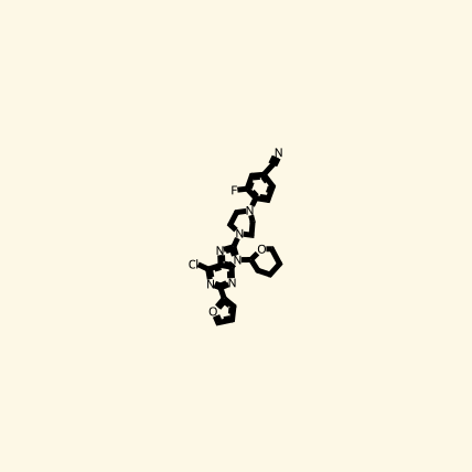 N#Cc1ccc(N2CCN(c3nc4c(Cl)nc(-c5ccco5)nc4n3C3CCCCO3)CC2)c(F)c1